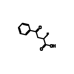 O=C(CC(F)C(=O)O)c1ccccc1